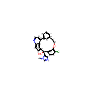 Cn1cncc1C1(O)c2ccc(Cl)c(c2)OCCc2cccc(c2)-c2ccnc3ccc1cc23